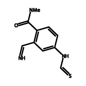 CNC(=O)c1ccc(NC=S)cc1C=N